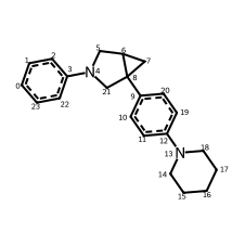 c1ccc(N2CC3CC3(c3ccc(N4CCCCC4)cc3)C2)cc1